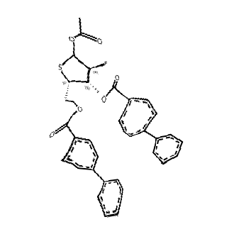 CC(=O)OC1S[C@@H](COC(=O)c2ccc(-c3ccccc3)cc2)[C@@H](OC(=O)c2ccc(-c3ccccc3)cc2)[C@@H]1F